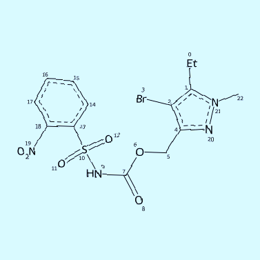 CCc1c(Br)c(COC(=O)NS(=O)(=O)c2ccccc2[N+](=O)[O-])nn1C